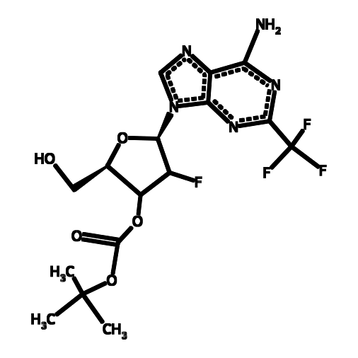 CC(C)(C)OC(=O)OC1C(F)[C@H](n2cnc3c(N)nc(C(F)(F)F)nc32)O[C@@H]1CO